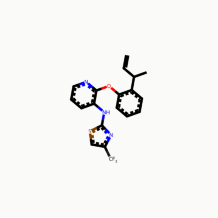 C=CC(C)c1ccccc1Oc1ncccc1Nc1nc(C(F)(F)F)cs1